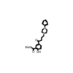 CNC(=O)c1cc(C(=O)CCCN2CCN(c3ccccc3)CC2)ccc1O